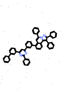 c1ccc(-c2cccc(-c3cc(-c4cccc(-c5cccc6c5cc(-c5ccccc5)n5nc(-c7ccccc7)c(-c7ccccc7)c65)c4)nc(-c4ccccc4)n3)c2)cc1